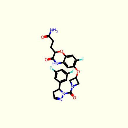 NC(=O)CCC1Oc2cc(F)c(OC3CN(C(=O)N4N=CCC4c4cc(F)cc(F)c4)C3)cc2NC1=O